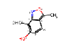 Cc1onc2c(C=O)c(O)ccc12